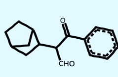 O=CC(C(=O)c1ccccc1)C1CC2CCC1C2